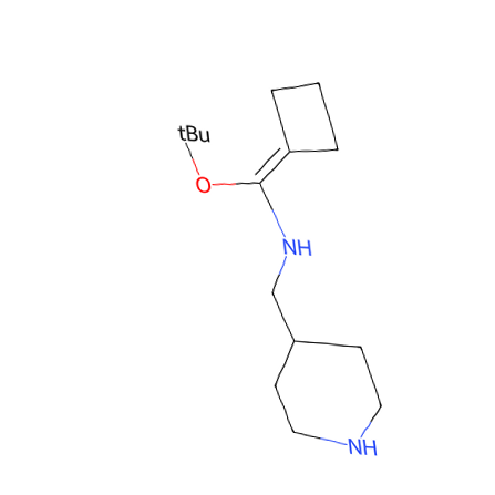 CC(C)(C)OC(NCC1CCNCC1)=C1CCC1